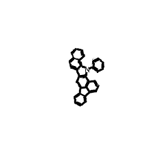 c1ccc(-n2c3c4ccccc4ccc3c3cc4c5c(cccc5c32)-c2ccccc2-4)cc1